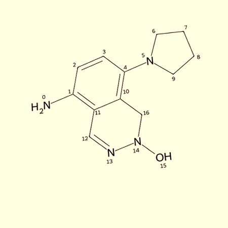 Nc1ccc(N2CCCC2)c2c1C=NN(O)C2